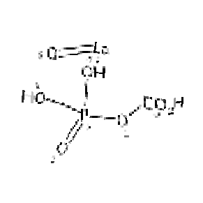 O=C(O)OP(=O)(O)O.[O]=[La]